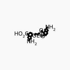 CCOc1ccc2c(c1C(=O)OCCCOc1ccc(C(=O)O)c3c1CC(N)C3)CC(N)C2